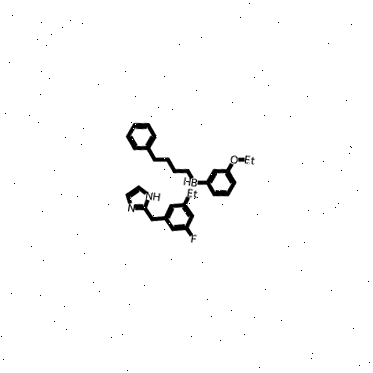 CCOc1cccc(BCCCCc2ccccc2)c1.CCc1cc(F)cc(Cc2ncc[nH]2)c1